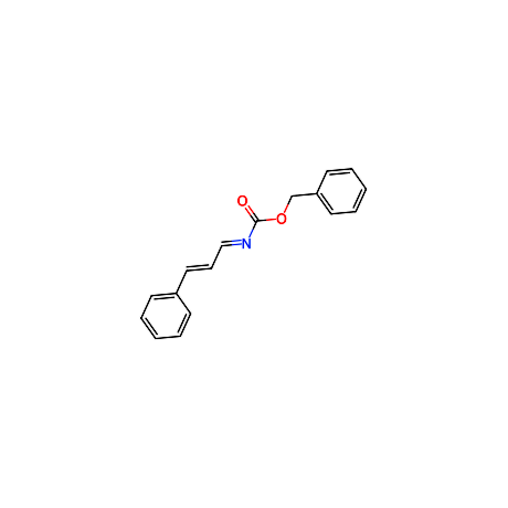 O=C(N=C/C=C/c1ccccc1)OCc1ccccc1